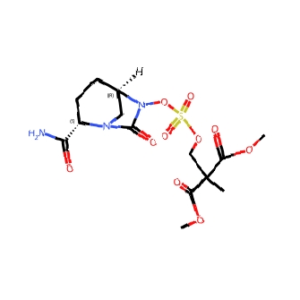 COC(=O)C(C)(COS(=O)(=O)ON1C(=O)N2C[C@H]1CC[C@H]2C(N)=O)C(=O)OC